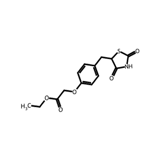 CCOC(=O)COc1ccc(CC2SC(=O)NC2=O)cc1